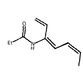 C=C/C(=C\C=C/C)NC(=O)CC